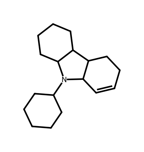 C1=CC2C(CC1)C1CCCCC1N2C1CCCCC1